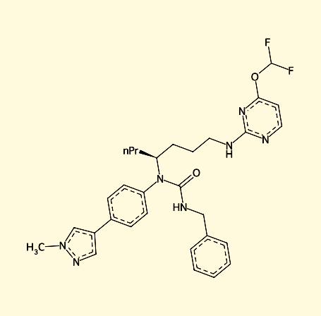 CCC[C@@H](CCCNc1nccc(OC(F)F)n1)N(C(=O)NCc1ccccc1)c1ccc(-c2cnn(C)c2)cc1